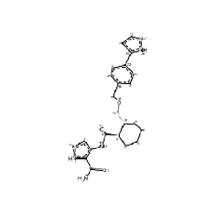 NC(=O)c1[nH]ncc1NC(=O)[C@@H]1CCCC[C@H]1COCc1ccc(-c2ccn[nH]2)cc1